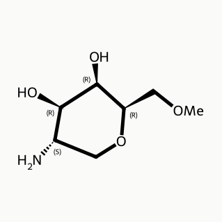 COC[C@H]1OC[C@H](N)[C@@H](O)[C@H]1O